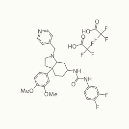 COc1ccc(C23CCC(NC(=O)Nc4ccc(F)c(F)c4)CC2N(Cc2ccncc2)CC3)cc1OC.O=C(O)C(F)(F)F.O=C(O)C(F)(F)F